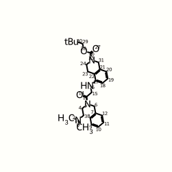 CN(C)CCN(Cc1ccccc1)C(=O)CNc1cccc2c1CCN(C(=O)OCC(C)(C)C)C2